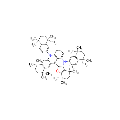 CC1(C)CCC(C)(C)c2cc(N3c4cc5c(cc4B4c6oc7c(c6N(c6ccc8c(c6)C(C)(C)CCC8(C)C)c6cccc3c64)C(C)(C)CCC7(C)C)C(C)(C)CCC5(C)C)ccc21